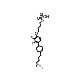 CCCCCC1CCC(c2ccc(OCCCCOP(=O)(O)Cl)c(F)c2F)CC1